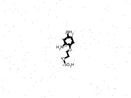 Nc1ccc(OCCOS(=O)(=O)O)c(N)c1